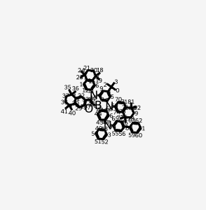 CC(C)(C)c1cc2c3c(c1)N(c1ccc4c(c1)C(C)(C)CCC4(C)C)c1c(oc4cc5c(cc14)C(C)(C)CCC5(C)C)B3c1ccc(N(c3ccccc3)c3ccc(-c4ccccc4)cc3)cc1N2c1ccc2c(c1)C(C)(C)CCC2(C)C